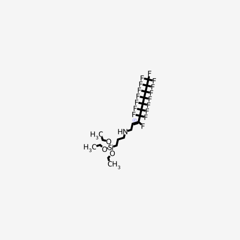 CCO[Si](CCCNC/C=C(\F)C(F)(F)C(F)(F)C(F)(F)C(F)(F)C(F)(F)C(F)(F)C(F)(F)F)(OCC)OCC